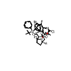 CC(C)(C)OC(=O)N1[C@H]2CC[C@@H]1C(CO[Si](c1ccccc1)(c1ccccc1)C(C)(C)C)N(c1nc(Cl)nc3c(F)c(Br)cc(F)c13)C2